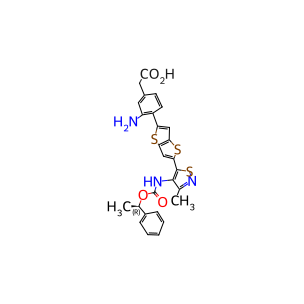 Cc1nsc(-c2cc3sc(-c4ccc(CC(=O)O)cc4N)cc3s2)c1NC(=O)O[C@H](C)c1ccccc1